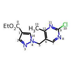 CCOC(=O)c1cnn(Cc2cnc(Cl)nc2C)c1